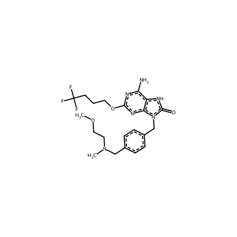 COCCN(C)Cc1ccc(Cn2c(=O)[nH]c3c(N)nc(OCCCC(F)(F)F)nc32)cc1